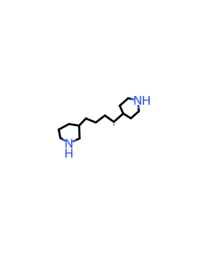 [CH](CCCC1CCCNC1)C1CCNCC1